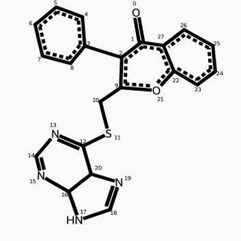 O=c1c(-c2ccccc2)c(CSC2=NC=NC3NC=NC23)oc2ccccc12